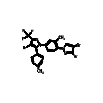 Cc1ccc(-c2c(Br)c(C(F)(F)F)nn2-c2[c]cc(-n3cc(Br)c(Br)n3)c(C)c2)cc1